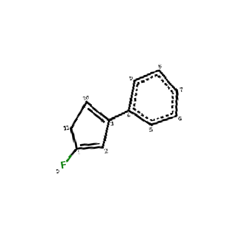 FC1=CC(c2ccccc2)=CC1